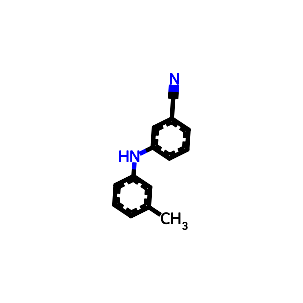 Cc1cccc(Nc2cccc(C#N)c2)c1